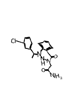 CC(c1cccc(Cl)c1)N1NN(CC(N)=O)C(=O)c2ccccc21